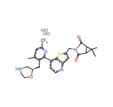 Cc1cc(C(F)(F)F)nc(-c2ccnc3cc(CN4C(=O)C5C(C4=O)C5(C)C)sc23)c1C[C@@H]1CNCCO1.Cl.Cl